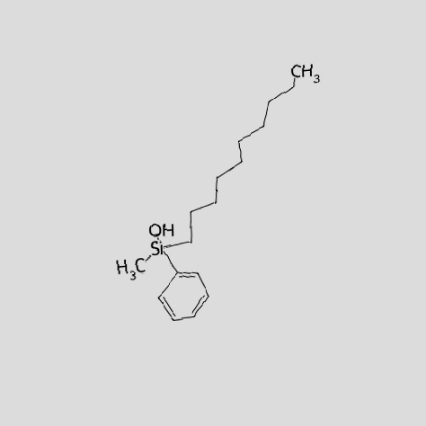 CCCCCCCCCC[Si](C)(O)c1ccccc1